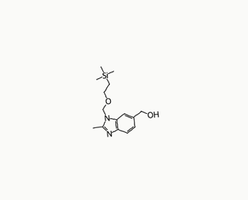 Cc1nc2ccc(CO)cc2n1COCC[Si](C)(C)C